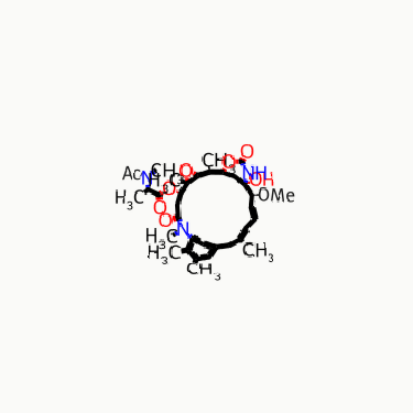 CO[C@@H]1/C=C/C=C(\C)Cc2cc(C)c(C)c(c2)N(C)C(=O)C[C@H](OC(=O)C(C)N(C)C(C)=O)C2(C)OC2[C@H](C)C2C[C@@]1(O)NC(=O)O2